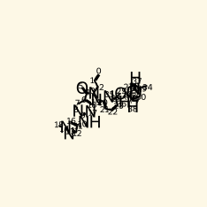 C=CCn1c(=O)c2cnc(Nc3cnn(C)c3)nc2n1-c1cccc(O[C@@H]2C[C@@H]3CC[C@H]2CN3C)n1